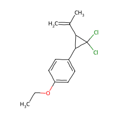 C=C(C)C1C(c2ccc(OCC)cc2)C1(Cl)Cl